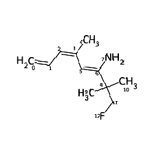 C=C/C=C(C)\C=C(/N)C(C)(C)CF